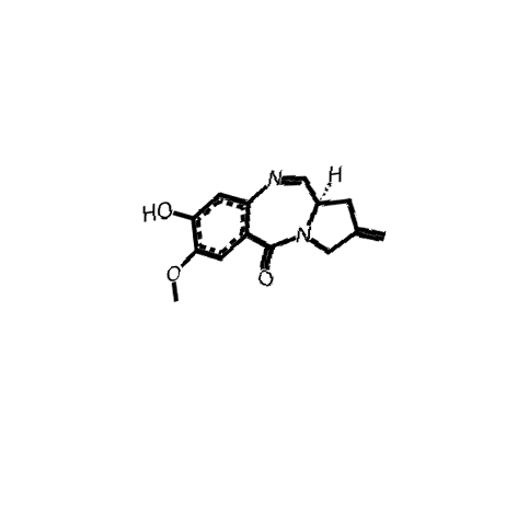 C=C1C[C@@H]2C=Nc3cc(O)c(OC)cc3C(=O)N2C1